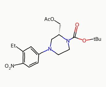 CCc1cc(N2CCN(C(=O)OC(C)(C)C)[C@@H](COC(C)=O)C2)ccc1[N+](=O)[O-]